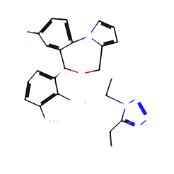 CCOC(=O)Cc1nnnn1CC[C@@H]1O[C@@H](c2cccc(OC)c2OC)c2cc(F)ccc2-n2cccc21